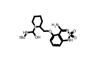 CC(C)(C)NC(O)N1CCCCC1COc1cccc2c1C(N)=NS(=O)(=O)N2